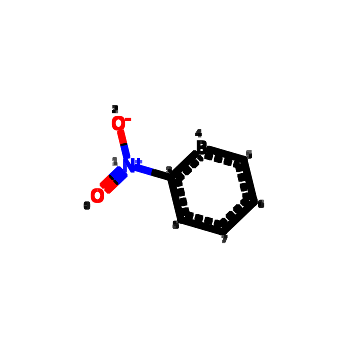 O=[N+]([O-])c1bcccc1